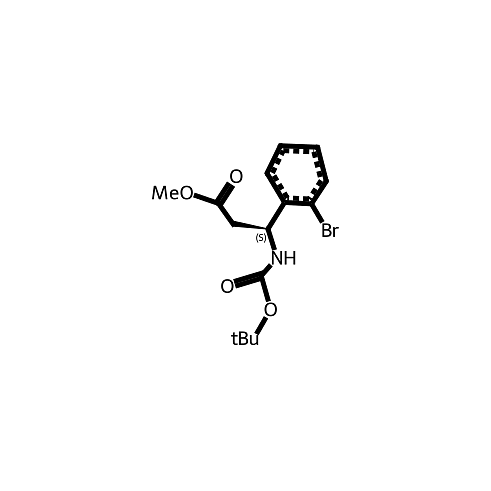 COC(=O)C[C@H](NC(=O)OC(C)(C)C)c1ccccc1Br